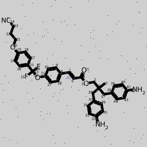 [CH2]C(COC(=O)/C=C/c1ccc(OC(F)(F)c2ccc(OCCCC#N)cc2)cc1)(Cc1ccc(N)cc1)Cc1ccc(N)cc1